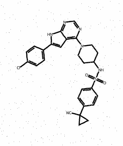 N#CC1(c2ccc(S(=O)(=O)NC3CCN(c4ncnc5[nH]c(-c6ccc(Cl)cc6)cc45)CC3)cc2)CC1